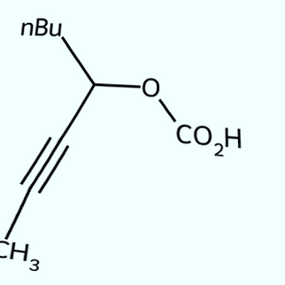 CC#CC(CCCC)OC(=O)O